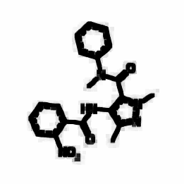 Cc1nn(C)c(C(=O)N(C)c2ccccc2)c1NC(=O)c1ccccc1[N+](=O)[O-]